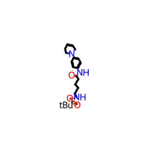 CC(C)(C)S(=O)(=O)NCCCCC(=O)Nc1ccc(N2CC=CCC2)cc1